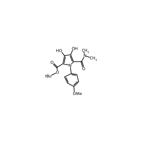 COc1ccc(-n2c(C(=O)OC(C)(C)C)c(O)c(O)c2C(=O)N(C)C)cc1